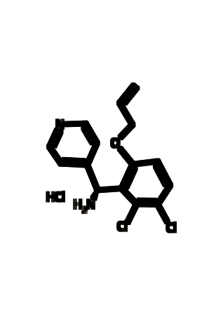 C=CCOc1ccc(Cl)c(Cl)c1[C@@H](N)c1ccncc1.Cl